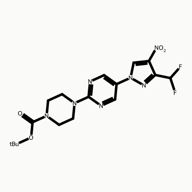 CC(C)(C)OC(=O)N1CCN(c2ncc(-n3cc([N+](=O)[O-])c(C(F)F)n3)cn2)CC1